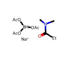 CC(=O)O[BH-](OC(C)=O)OC(C)=O.CCC(=O)N(C)C.[Na+]